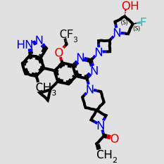 C=CC(=O)N1CC2(CCN(c3nc(N4CC(N5C[C@H](O)[C@@H](F)C5)C4)nc4c(OCC(F)(F)F)c(-c5c(C)ccc6[nH]ncc56)c(C5CC5)cc34)CC2)C1